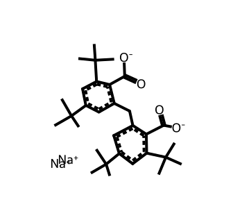 CC(C)(C)c1cc(Cc2cc(C(C)(C)C)cc(C(C)(C)C)c2C(=O)[O-])c(C(=O)[O-])c(C(C)(C)C)c1.[Na+].[Na+]